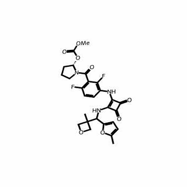 COC(=O)O[C@H]1CCCN1C(=O)c1c(F)ccc(Nc2c(NC(c3ccc(C)o3)C3(C)COC3)c(=O)c2=O)c1F